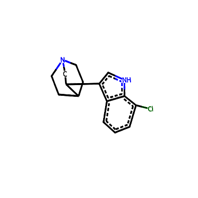 Clc1cccc2c(C3CN4CCC3CC4)c[nH]c12